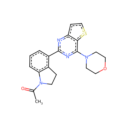 CC(=O)N1CCc2c(-c3nc(N4CCOCC4)c4sccc4n3)cccc21